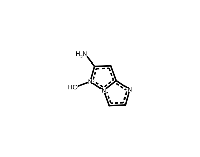 Nc1cc2nccn2n1O